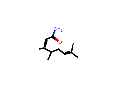 CC(C)=CCC(C)/C(C)=C\C(N)=O